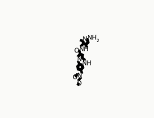 COCCN(C=O)Cc1ccc2c(c1)NCc1cc(C(=O)NCc3c(C)cc(N)nc3C)cn1C2